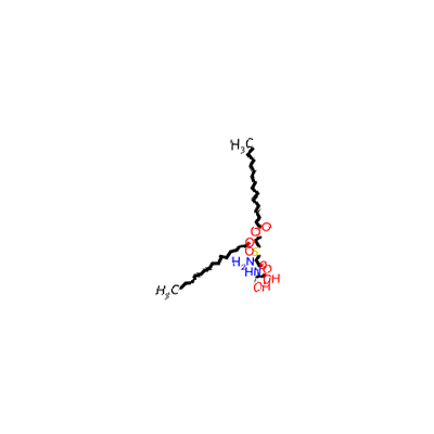 CCCCCCCCCCCCCCCC(=O)OCC(CSC[C@H](N)C(=O)N[C@@H](CO)C(=O)O)OC(=O)CCCCCCCCCCCCCCC